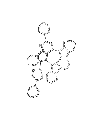 c1ccc(-c2ccc(-c3ccccc3-n3c4ccccc4c4ccc5c6ccccc6n(-c6nc(-c7ccccc7)nc(-c7ccccc7)n6)c5c43)cc2)cc1